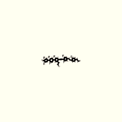 CCCc1ccc(CCc2cc(F)c(C#Cc3cc(F)c(-c4cc(F)c(-c5cc(F)c(C)c(F)c5)c(F)c4)cc3CCC)c(F)c2)c(F)c1